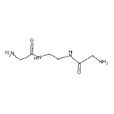 NCC(=O)NCCNC(=O)CN